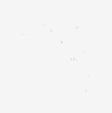 CCN1C(=O)c2c(O)c(=O)c(C(=O)NCc3cccc(Cl)c3F)cn2CC12CC(CO)C2